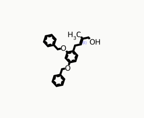 C/C(=C\Cc1ccc(OCc2ccccc2)cc1OCc1ccccc1)CO